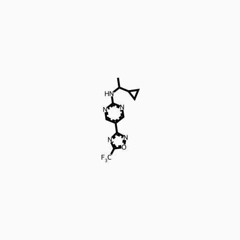 CC(Nc1ncc(-c2noc(C(F)(F)F)n2)cn1)C1CC1